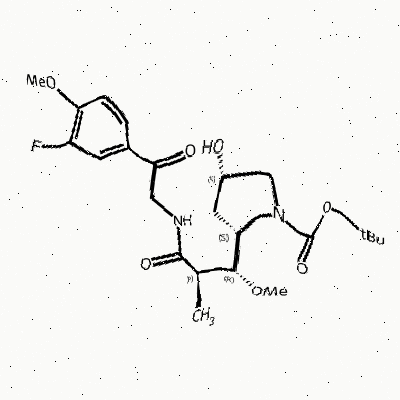 COc1ccc(C(=O)CNC(=O)[C@H](C)[C@@H](OC)[C@@H]2C[C@H](O)CN2C(=O)OC(C)(C)C)cc1F